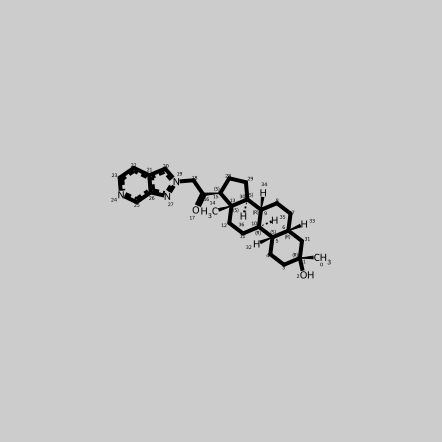 C[C@@]1(O)CC[C@H]2[C@H](CC[C@@H]3[C@@H]2CC[C@]2(C)[C@@H](C(=O)Cn4cc5ccncc5n4)CC[C@@H]32)C1